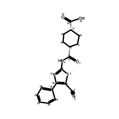 N#Cc1sc(NC(=O)[C@H]2CC[C@@H](C(=O)O)CC2)nc1-c1ccccc1